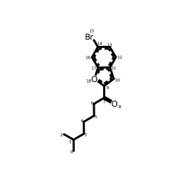 CC(C)CCCCC(=O)c1cc2ccc(Br)cc2o1